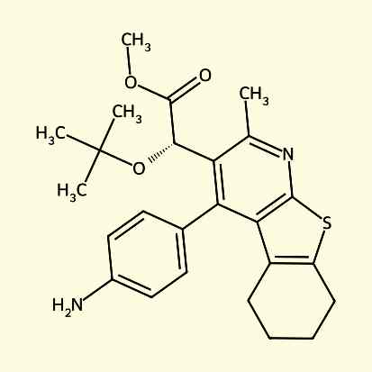 COC(=O)[C@@H](OC(C)(C)C)c1c(C)nc2sc3c(c2c1-c1ccc(N)cc1)CCCC3